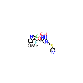 COc1ccc2ncc(Cl)c([C@H](F)CCC3(C(=O)NO)CCN(CCSc4ccncc4)CC3)c2c1